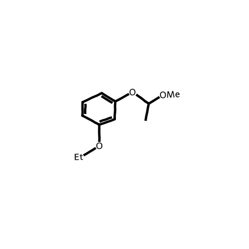 CCOc1cccc(OC(C)OC)c1